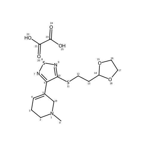 CN1CCC=C(c2nsnc2SCCC2OCCO2)C1.O=C(O)C(=O)O